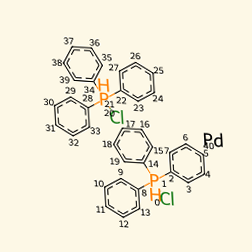 Cl[PH](c1ccccc1)(c1ccccc1)c1ccccc1.Cl[PH](c1ccccc1)(c1ccccc1)c1ccccc1.[Pd]